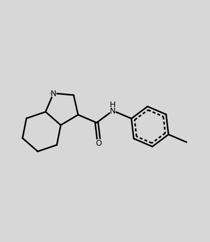 Cc1ccc(NC(=O)C2C[N]C3CCCCC32)cc1